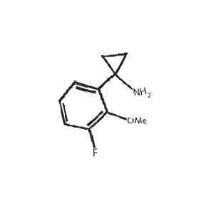 COc1c(F)cccc1C1(N)CC1